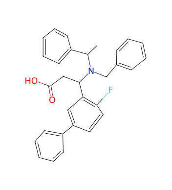 CC(c1ccccc1)N(Cc1ccccc1)C(CC(=O)O)c1cc(-c2ccccc2)ccc1F